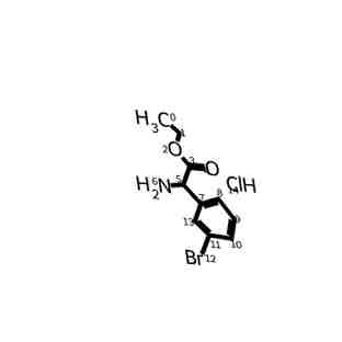 CCOC(=O)C(N)c1cccc(Br)c1.Cl